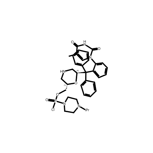 Cc1cn(-c2ccccc2C(c2ccccc2)(c2ccccc2)[C@@H]2CNC[C@@H](COP(=O)(Cl)N3CCN(C(C)C)CC3)O2)c(=O)[nH]c1=O